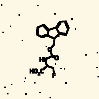 O=C(N[C@@H](CF)C(=O)O)OCC1c2ccccc2-c2ccccc21